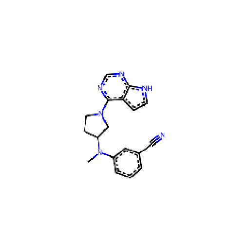 CN(c1cccc(C#N)c1)C1CCN(c2ncnc3[nH]ccc23)C1